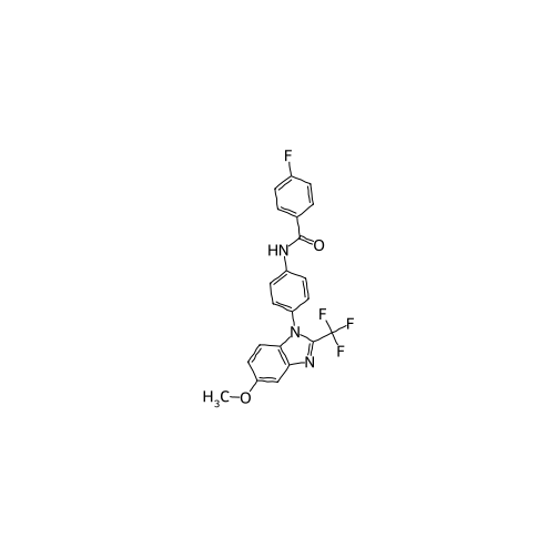 COc1ccc2c(c1)nc(C(F)(F)F)n2-c1ccc(NC(=O)c2ccc(F)cc2)cc1